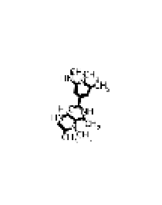 C=C(NC(C)C1=CC(C)N(C)C(NC)=C1)C1CNC=C(C)N1C